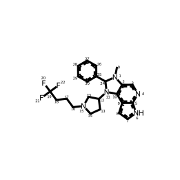 CN1c2cnc3[nH]ccc3c2N(C2CCN(CCCC(F)(F)F)C2)C1c1ccccc1